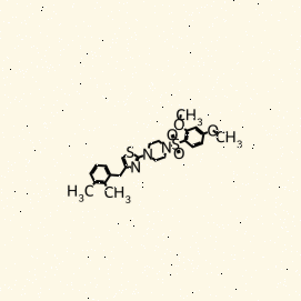 COc1ccc(S(=O)(=O)N2CCN(c3nc(Cc4cccc(C)c4C)cs3)CC2)c(OC)c1